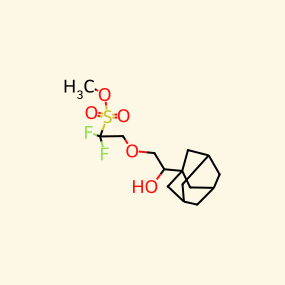 COS(=O)(=O)C(F)(F)COCC(O)C12CC3CC(CC(C3)C1)C2